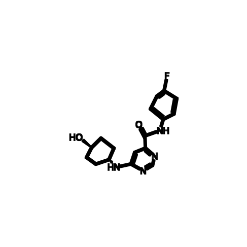 O=C(Nc1ccc(F)cc1)c1cc(N[C@H]2CC[C@H](O)CC2)ncn1